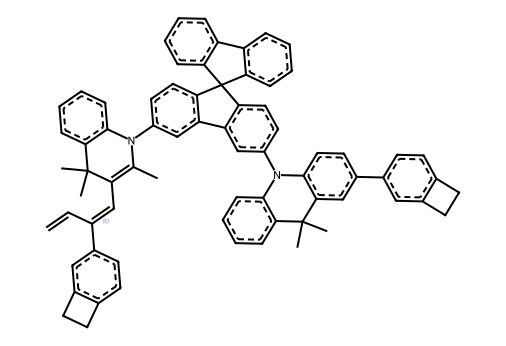 C=C/C(=C\C1=C(C)N(c2ccc3c(c2)-c2cc(N4c5ccccc5C(C)(C)c5cc(-c6ccc7c(c6)CC7)ccc54)ccc2C32c3ccccc3-c3ccccc32)c2ccccc2C1(C)C)c1ccc2c(c1)CC2